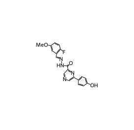 COc1ccc(F)c(/C=N/NC(=O)c2cncc(-c3ccc(O)cc3)n2)c1